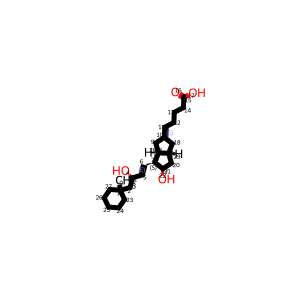 CC1(C[C@@H](O)/C=C/[C@@H]2[C@H]3C/C(=C/CCCC(=O)O)C[C@@H]3C[C@H]2O)CCCCC1